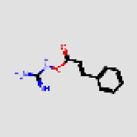 N=C(N)NOC(=O)C=Cc1ccccc1